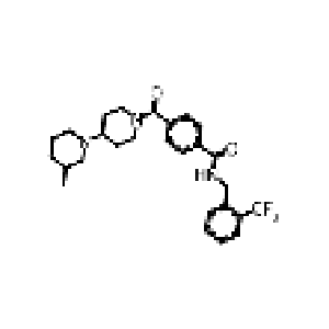 CC1CCCN(C2CCN(C(=O)c3ccc(C(=O)NCc4ccccc4C(F)(F)F)cc3)CC2)C1